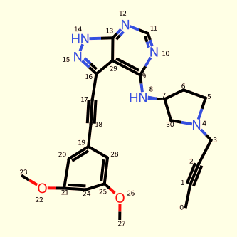 CC#CCN1CC[C@H](Nc2ncnc3[nH]nc(C#Cc4cc(OC)cc(OC)c4)c23)C1